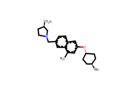 Cc1cc(O[C@H]2CC[C@H](C(C)(C)C)CC2)cc2ccc(CN3CC[C@@H](C(=O)O)C3)cc12